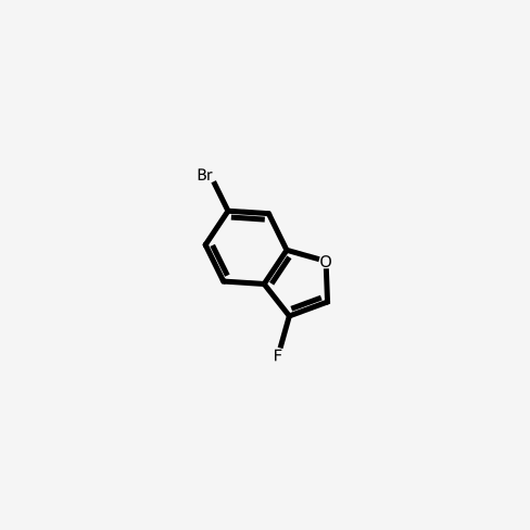 Fc1coc2cc(Br)ccc12